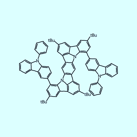 CC(C)(C)c1cc(-c2ccc3c(c2)c2ccccc2n3-c2ccccc2)c2c(c1)c1cc(C(C)(C)C)cc3c4cc5c(cc4n2c31)c1cc(C(C)(C)C)cc2c3cc(C(C)(C)C)cc(-c4ccc6c(c4)c4ccccc4n6-c4ccccc4)c3n5c12